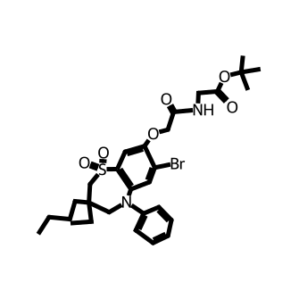 CCCCC1(CC)CN(c2ccccc2)c2cc(Br)c(OCC(=O)NCC(=O)OC(C)(C)C)cc2S(=O)(=O)C1